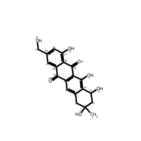 CC1(O)Cc2cc3c(c(O)c2C(O)C1)C(=O)c1c(O)cc(CO)cc1C3=O